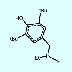 CCP(CC)Cc1cc(C(C)(C)C)c(O)c(C(C)(C)C)c1